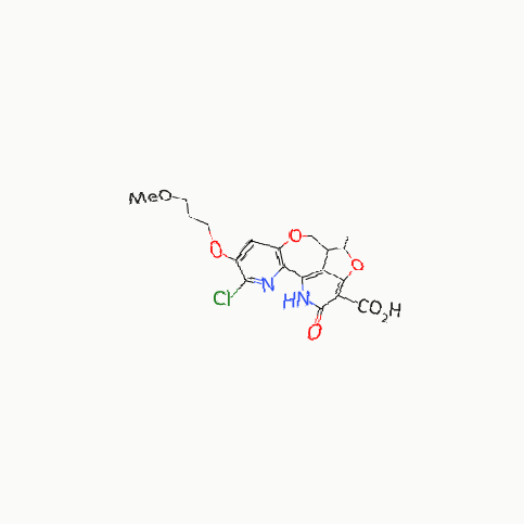 COCCCOc1cc2c(nc1Cl)-c1[nH]c(=O)c(C(=O)O)c3c1C(CO2)C(C)O3